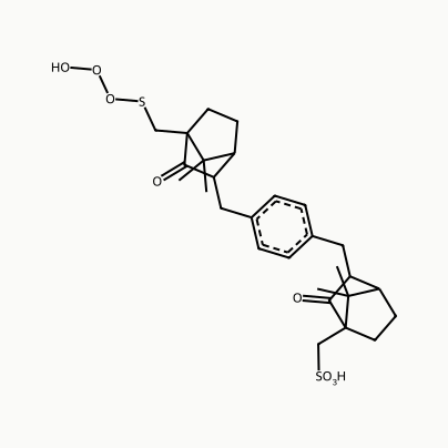 CC1(C)C2CCC1(CSOOO)C(=O)C2Cc1ccc(CC2C(=O)C3(CS(=O)(=O)O)CCC2C3(C)C)cc1